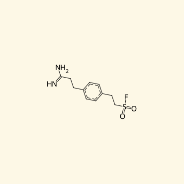 N=C(N)CCc1ccc(CCS(=O)(=O)F)cc1